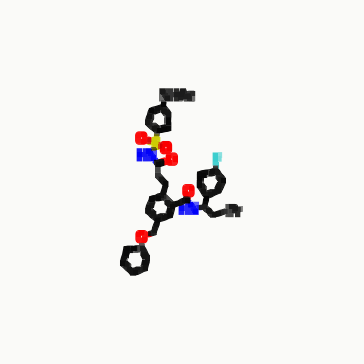 CC(=O)Nc1ccc(S(=O)(=O)NC(=O)CCc2ccc(COc3ccccc3)cc2C(=O)NC(CC(C)C)c2ccc(F)cc2)cc1